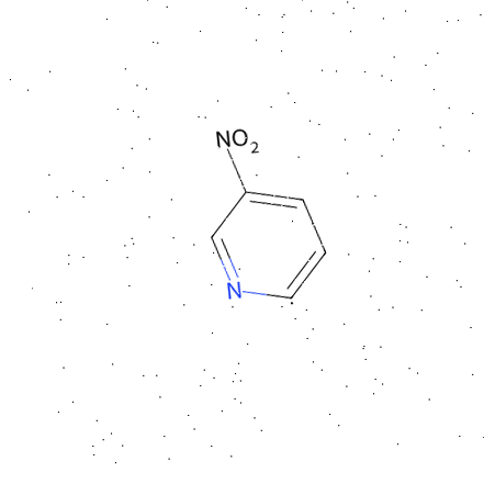 O=[N+]([O-])c1cc[c]nc1